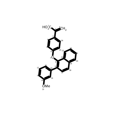 C=C(C(=O)O)c1ccc(Oc2c(-c3cccc(OC)c3)ccc3ccccc23)cc1